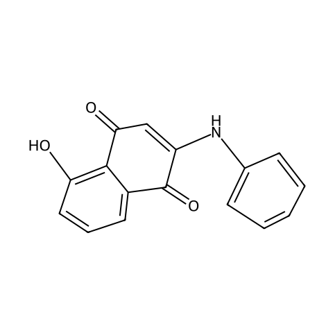 O=C1C(Nc2ccccc2)=CC(=O)c2c(O)cccc21